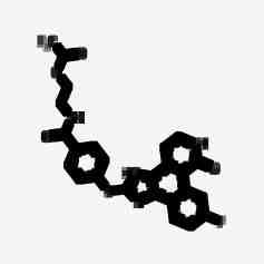 O=C(NCCOC(=O)C(F)(F)F)c1ccc(Sc2nc3c4ccc(F)cc4c4c(=O)[nH]ccc4c3[nH]2)cc1